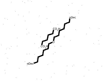 CCCCCCCCCCCCCCCCOCCCCCCCCCCCCCCCC.O=C(O)CCCCC(=O)O